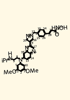 COc1cc(OC)cc(N(CCNC(C)C)c2ccc3ncc(-c4cnn(Cc5ccc(/C=C/C(=O)NO)cc5)c4)nc3c2)c1